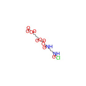 COC(=O)COC(=O)CCCCC(=O)OCC(=O)OCC(=O)NCCCCCNC(=O)CCl